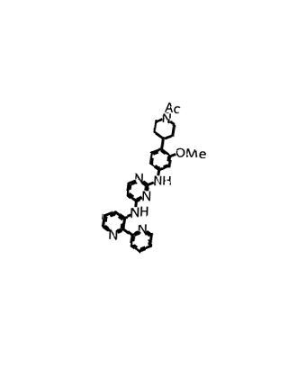 COc1cc(Nc2nccc(Nc3cccnc3-c3ccccn3)n2)ccc1C1CCN(C(C)=O)CC1